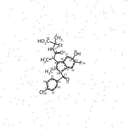 CCC(C)(NC(=O)[C@H](C)c1c(C)n(C(=O)c2ccc(Cl)cc2)c2cc(F)c(O)cc12)C(=O)O